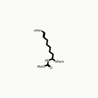 CCCCCCC=CCCCCCC(CCCCC)NC(=O)OC